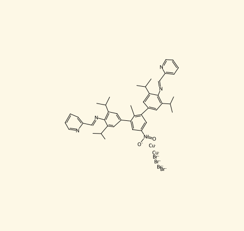 Cc1c(-c2cc(C(C)C)c(N=Cc3ccccn3)c(C(C)C)c2)cc([N+](=O)[O-])cc1-c1cc(C(C)C)c(N=Cc2ccccn2)c(C(C)C)c1.[Br-].[Br-].[Br-].[Br-].[Cu].[Cu]